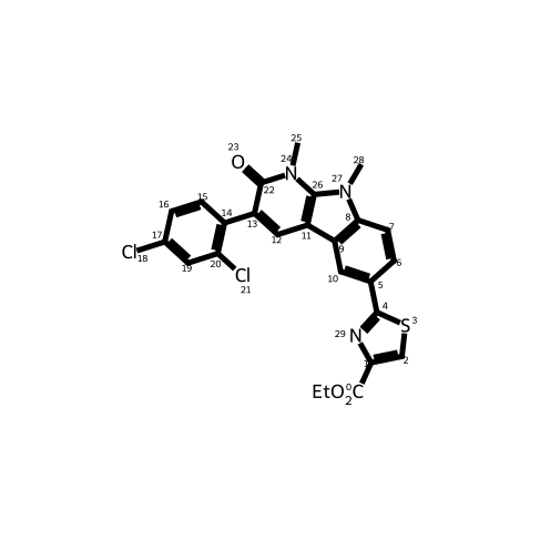 CCOC(=O)c1csc(-c2ccc3c(c2)c2cc(-c4ccc(Cl)cc4Cl)c(=O)n(C)c2n3C)n1